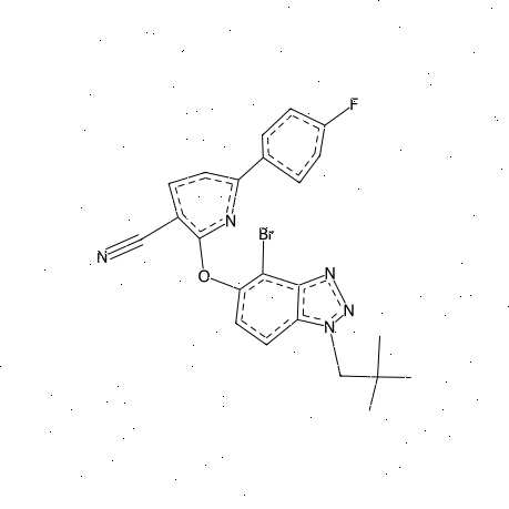 CC(C)(C)Cn1nnc2c(Br)c(Oc3nc(-c4ccc(F)cc4)ccc3C#N)ccc21